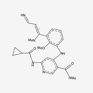 CNC(=O)c1cnc(NC(=O)C2CC2)cc1Nc1cccc(/C(=C/C=N)NC)c1OC